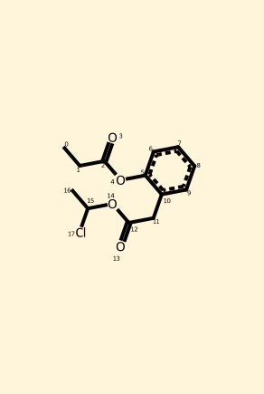 CCC(=O)Oc1ccccc1CC(=O)OC(C)Cl